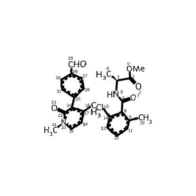 COC(=O)[C@H](C)NC(=O)c1c(C)cccc1Cl.Cc1ccn(C)c(=O)c1-c1ccc(C=O)cc1